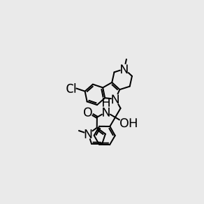 CN1CCc2c(c3cc(Cl)ccc3n2CC(O)(NC(=O)c2cccn2C)c2ccccc2)C1